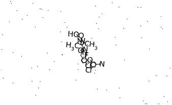 Cc1nn(CC(=O)O)c(C)c1-c1nnc(Cc2ccc(Cl)c(Oc3cc(Cl)cc(C#N)c3)c2F)o1